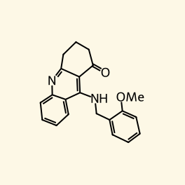 COc1ccccc1CNc1c2c(nc3ccccc13)CCCC2=O